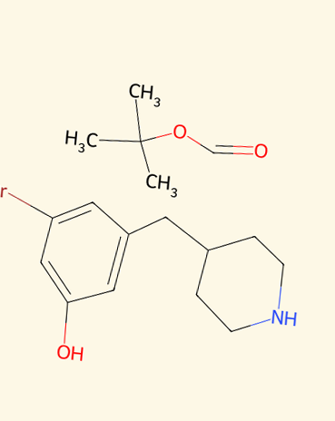 CC(C)(C)OC=O.Oc1cc(Br)cc(CC2CCNCC2)c1